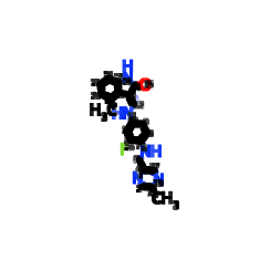 Cc1cnc(CNc2ccc(N/C=C3/C(=O)Nc4cccc(C)c43)cc2F)cn1